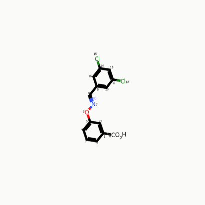 O=C(O)c1cccc(O/N=C/c2cc(Cl)cc(Cl)c2)c1